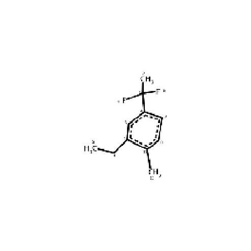 CCc1cc(C(C)(F)F)ccc1C